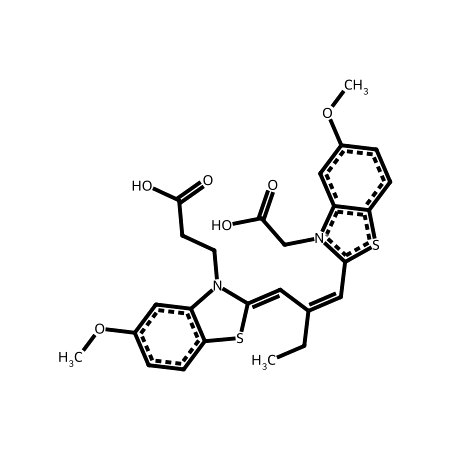 CCC(=Cc1sc2ccc(OC)cc2[n+]1CC(=O)O)C=C1Sc2ccc(OC)cc2N1CCC(=O)O